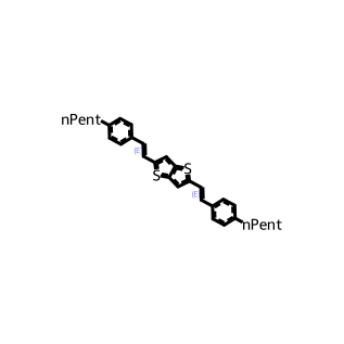 CCCCCc1ccc(/C=C/c2cc3sc(/C=C/c4ccc(CCCCC)cc4)cc3s2)cc1